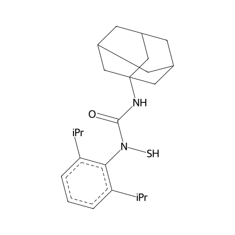 CC(C)c1cccc(C(C)C)c1N(S)C(=O)NC12CC3CC(CC(C3)C1)C2